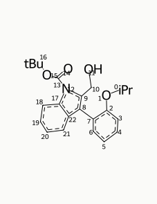 CC(C)Oc1ccccc1-c1c(CO)n(C(=O)OC(C)(C)C)c2ccccc12